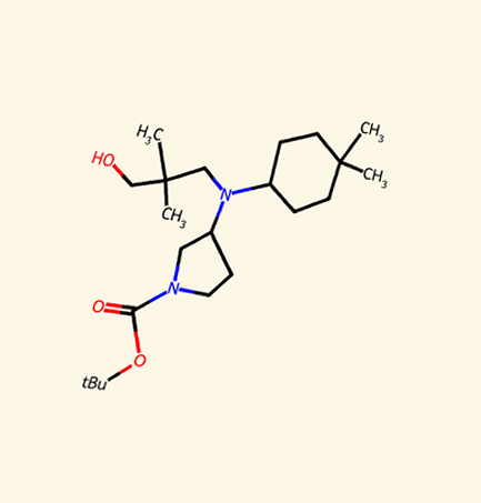 CC1(C)CCC(N(CC(C)(C)CO)C2CCN(C(=O)OC(C)(C)C)C2)CC1